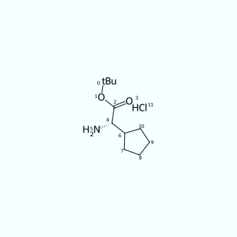 CC(C)(C)OC(=O)[C@@H](N)C1CCCC1.Cl